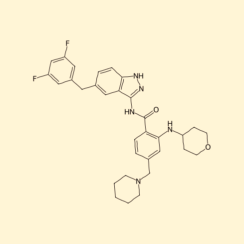 O=C(Nc1n[nH]c2ccc(Cc3cc(F)cc(F)c3)cc12)c1ccc(CN2CCCCC2)cc1NC1CCOCC1